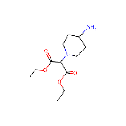 CCOC(=O)C(C(=O)OCC)N1CCC(N)CC1